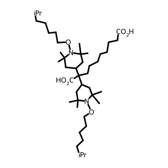 CC(C)CCCCCON1C(C)(C)CC(C(CCCCCCCC(=O)O)(C(=O)O)C2CC(C)(C)N(OCCCCCC(C)C)C(C)(C)C2)CC1(C)C